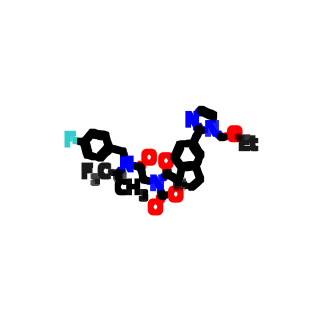 CCOCn1ccnc1-c1ccc2c(c1)CC[C@@]21OC(=O)N(CC(=O)N(Cc2ccc(F)cc2)[C@@H](C)C(F)(F)F)C1=O